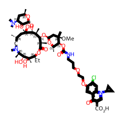 CC[C@H]1OC(=O)[C@H](C)[C@@H](O[C@H]2C[C@@](C)(OC)[C@@H](OC(=O)NCCCOCCOc3cc4c(=O)c(C(=O)O)cn(C5CC5)c4cc3Cl)[C@H](C)O2)[C@H](C)[C@@H](O[C@@H]2O[C@H](C)C[C@H](N(C)C)[C@H]2O)[C@](C)(O)C[C@@H](C)CN(C)[C@H](C)[C@@H](O)[C@]1(C)O